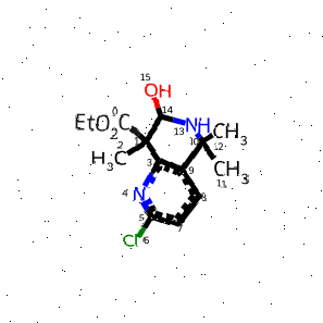 CCOC(=O)C1(C)c2nc(Cl)ccc2C(C)(C)NC1O